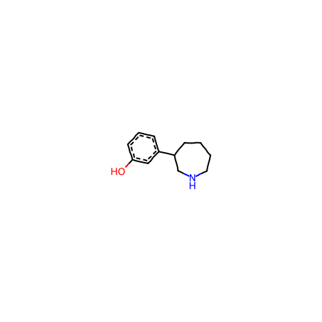 Oc1cccc(C2CCCCNC2)c1